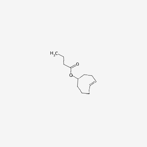 CCCC(=O)OC1CC/C=C/CCC1